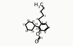 CCCCCc1cc[c]c(OC=O)c1C1CCCCC1